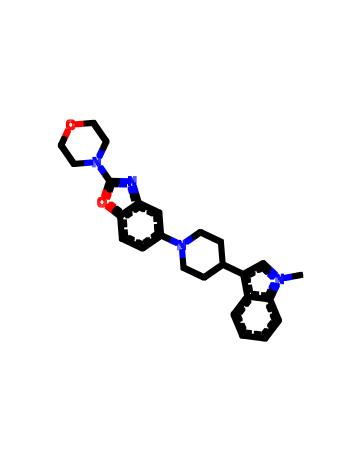 Cn1cc(C2CCN(c3ccc4oc(N5CCOCC5)nc4c3)CC2)c2ccccc21